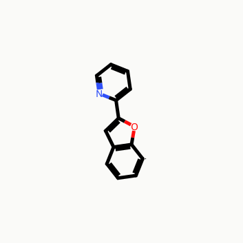 [c]1cccc2cc(-c3ccccn3)oc12